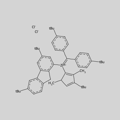 CC1=[C]([Zr+2](=[C](c2ccc(C(C)(C)C)cc2)c2ccc(C(C)(C)C)cc2)[c]2cc(C(C)(C)C)cc3c2Cc2ccc(C(C)(C)C)cc2-3)C(C)C=C1C(C)(C)C.[Cl-].[Cl-]